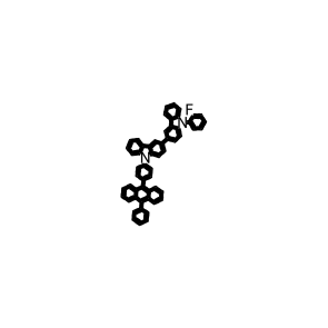 Fc1ccccc1-n1c2ccccc2c2cc(-c3ccc4c(c3)c3ccccc3n4-c3ccc(-c4c5ccccc5c(-c5ccccc5)c5ccccc45)cc3)ccc21